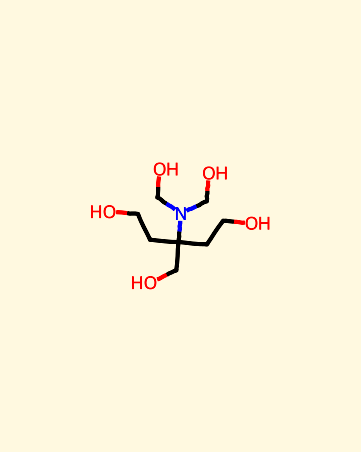 OCCC(CO)(CCO)N(CO)CO